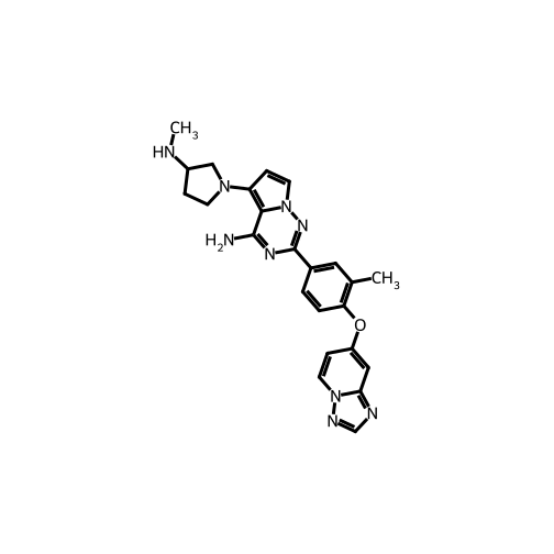 CNC1CCN(c2ccn3nc(-c4ccc(Oc5ccn6ncnc6c5)c(C)c4)nc(N)c23)C1